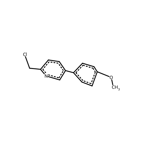 COc1ccc(-c2ccc(CCl)nc2)cc1